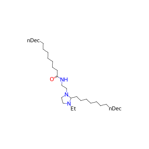 CCCCCCCCCCCCCCCCCC(=O)NCCN1CCN(CC)C1CCCCCCCCCCCCCCCCC